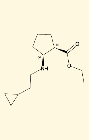 CCOC(=O)[C@@H]1CCC[C@@H]1NCCC1CC1